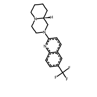 FC(F)(F)c1ccc2nc(N3CCN4CCCC[C@@H]4C3)ccc2c1